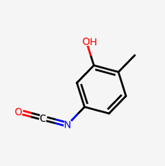 Cc1ccc(N=C=O)cc1O